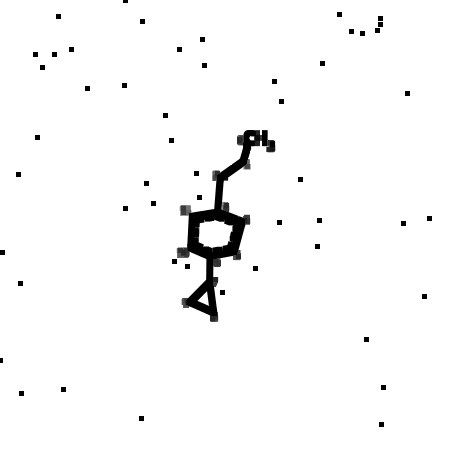 CC[CH]c1ccc(C2CC2)cc1